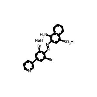 Nc1c(N=Nc2c(Br)cc(-c3cccnc3)cc2Br)cc(S(=O)(=O)O)c2ccccc12.[NaH]